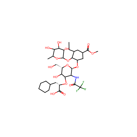 CCC1CC(C(=O)OC)CC(O[C@@H]2O[C@@H](CO)C(O)C(O[C@@H](CC3CCCCC3)C(=O)O)C2NC(=O)C(F)(F)F)C1OC1OC(C)C(O)C(O)C1O